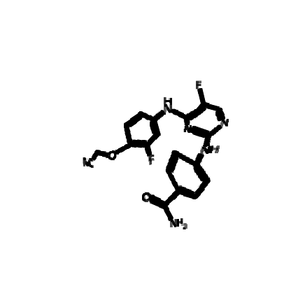 N#CCOc1ccc(Nc2nc(Nc3ccc(C(N)=O)cc3)ncc2F)cc1F